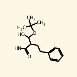 CC(C)(C)OC(O)C(CCc1ccccc1)C([NH])=O